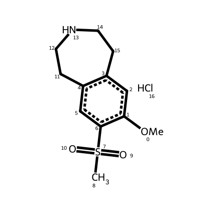 COc1cc2c(cc1S(C)(=O)=O)CCNCC2.Cl